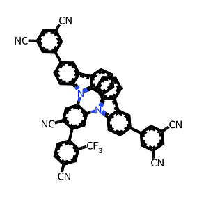 N#Cc1cc(C#N)cc(-c2ccc3c(c2)c2ccccc2n3-c2cc(C#N)c(-c3ccc(C#N)cc3C(F)(F)F)cc2-n2c3ccccc3c3cc(-c4cc(C#N)cc(C#N)c4)ccc32)c1